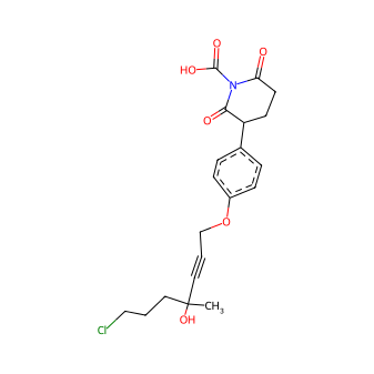 CC(O)(C#CCOc1ccc(C2CCC(=O)N(C(=O)O)C2=O)cc1)CCCCl